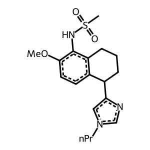 CCCn1cnc(C2CCCc3c2ccc(OC)c3NS(C)(=O)=O)c1